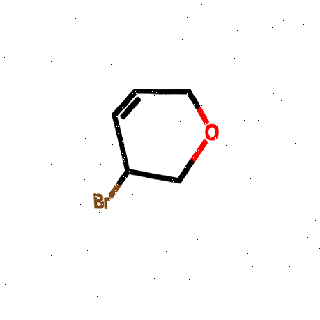 BrC1C=CCOC1